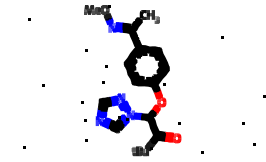 CON=C(C)c1ccc(OC(C(=O)C(C)(C)C)n2cncn2)cc1